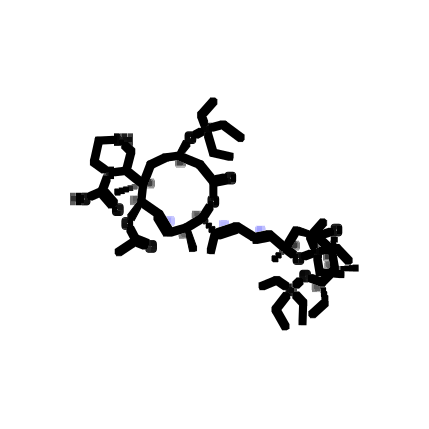 CC[C@H](O[Si](CC)(CC)CC)[C@@H](C)[C@H]1O[C@@H]1C[C@](C)(/C=C/C=C(\C)[C@H]1OC(=O)C[C@H](O[Si](CC)(CC)CC)CC[C@](C)(C2CNCCN2C(=O)O)[C@H](OC(C)=O)/C=C/[C@@H]1C)O[Si](CC)(CC)CC